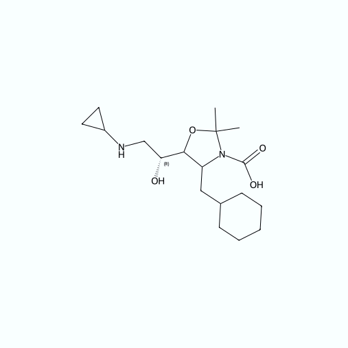 CC1(C)OC([C@H](O)CNC2CC2)C(CC2CCCCC2)N1C(=O)O